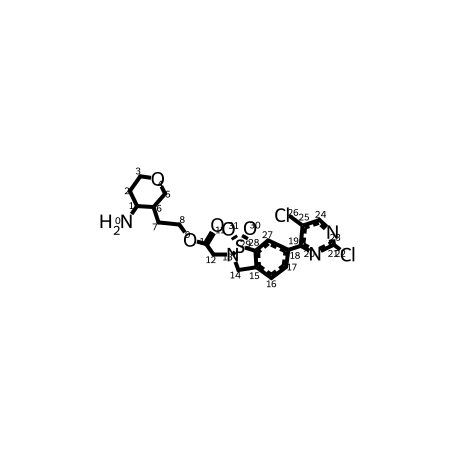 NC1CCOCC1CCOC(=O)CN1Cc2ccc(-c3nc(Cl)ncc3Cl)cc2S1(=O)=O